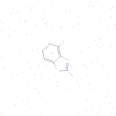 Cc1nc2c(Br)cccc2s1